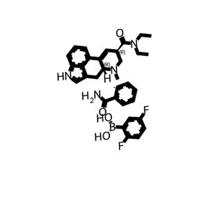 CCN(CC)C(=O)[C@@H]1C=C2c3cccc4[nH]cc(c34)C[C@H]2N(C)C1.NC(=O)c1[c]cccc1.OB(O)c1cc(F)ccc1F